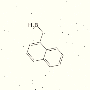 BCc1cccc2ccccc12